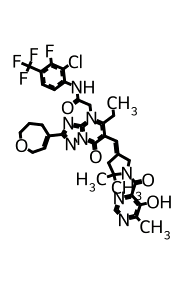 CCc1c(C=C2CN(C(=O)c3ncnc(C)c3O)C(C)(C)C2)c(=O)n2nc(C3=CCOCCC3)nc2n1CC(=O)Nc1ccc(C(F)(F)F)c(F)c1Cl